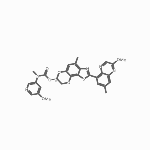 COc1cncc(N(C)C(=O)O[C@@H]2COc3c(cc(C)c4nc(-c5cc(C)cc6nc(OC)cnc56)sc34)O2)c1